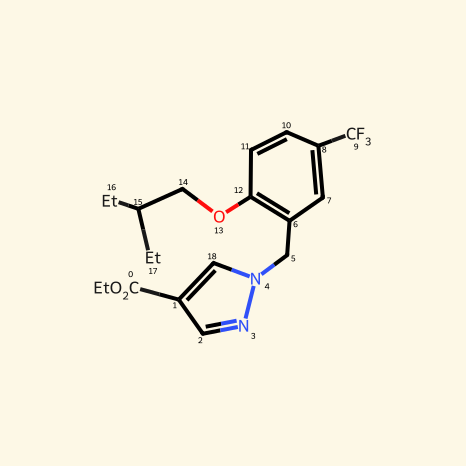 CCOC(=O)c1cnn(Cc2cc(C(F)(F)F)ccc2OCC(CC)CC)c1